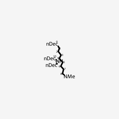 CCCCCCCCCCCCCCCCCCNC.CCCCCCCCCCNCCCCCCCCCC